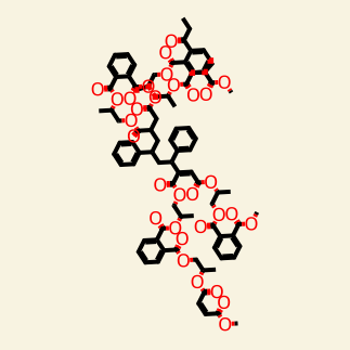 CCC(=O)c1ccccc1C(=O)OCC(C)OC(=O)CC(CC(CC(/C(=C/C(=O)OC(C)COC(=O)c1ccccc1C(=O)OC)C(=O)OCC(C)OC(=O)c1ccccc1C(=O)OCC(C)OC(=O)/C=C\C(=O)OC)c1ccccc1)c1ccccc1)C(=O)OCC(C)OC(=O)c1ccccc1C(=O)OCC(C)OC(=O)CC(C)C(=O)OC